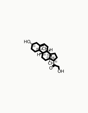 C[C@]12CC[C@H]3[C@@H](CC=C4C[C@@H](O)CC[C@@]43C)[C@@H]1CC[C@@H]2C(=O)CO